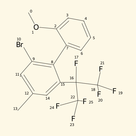 COc1ccccc1-c1c(Br)[c]c(C)cc1C(F)(C(F)(F)F)C(F)(F)F